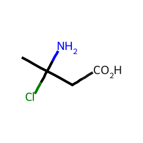 CC(N)(Cl)CC(=O)O